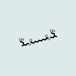 CC(CCO)CCOC(=O)CCCCCCCC(=O)OCCC(C)CCO